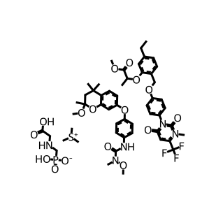 CCc1ccc(COc2ccc(-n3c(=O)cc(C(F)(F)F)n(C)c3=O)cc2)c(OC(C)C(=O)OC)c1.CON(C)C(=O)Nc1ccc(Oc2ccc3c(c2)OC(C)(OC)CC3(C)C)cc1.C[S+](C)C.O=C(O)CNCP(=O)([O-])O